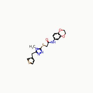 Cn1c(Cc2ccsc2)nnc1SCC(=O)Nc1ccc2c(c1)OCCO2